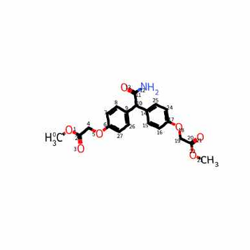 COC(=O)COc1ccc(C(C(N)=O)c2ccc(OCC(=O)OC)cc2)cc1